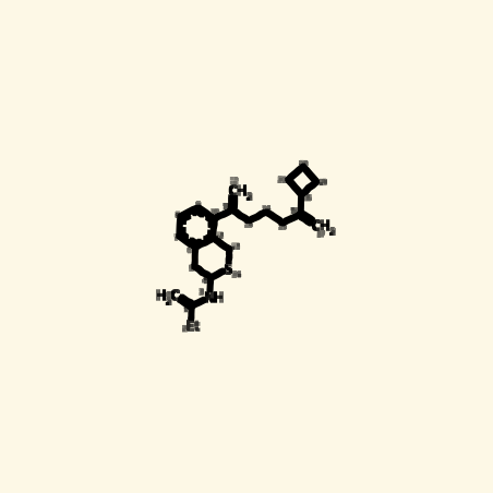 C=C(CC)NC1Cc2cccc(C(=C)CCCC(=C)C3CCC3)c2CS1